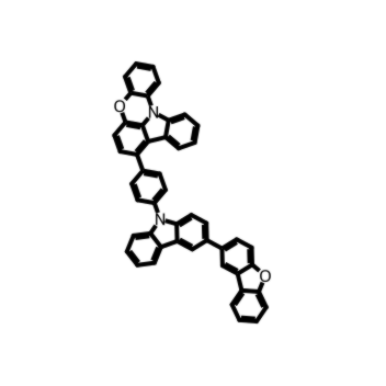 c1ccc2c(c1)Oc1ccc(-c3ccc(-n4c5ccccc5c5cc(-c6ccc7oc8ccccc8c7c6)ccc54)cc3)c3c4ccccc4n-2c13